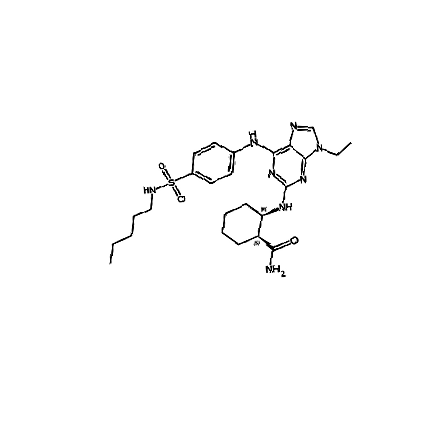 CCCCCNS(=O)(=O)c1ccc(Nc2nc(N[C@@H]3CCCC[C@@H]3C(N)=O)nc3c2ncn3CC)cc1